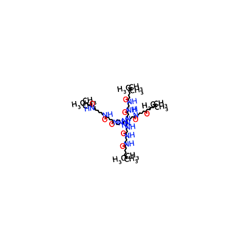 CC(C)(C)/C=C/C(=O)NCCCCCCNC(=O)CCCC(=O)N1CCN(c2nc(NCCC(=O)NCCCNC(=O)CCCCC(C)(C)C)nc(N(CCC(=O)NCCCCC(=O)CCCCC(C)(C)C)CCC(=O)NCCCNC(=O)CCCCC(C)(C)C)n2)CC1